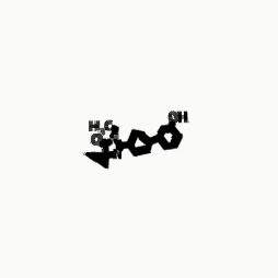 CCN1C(=O)C2(CC2)N=C1c1ccc(-c2cccc(O)c2)cc1